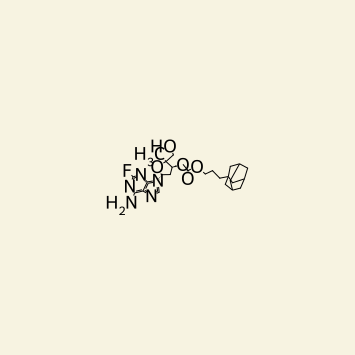 C[C@]1(CO)O[C@@H](n2cnc3c(N)nc(F)nc32)C[C@@H]1OC(=O)OCCCC12CC3CC(CC(C3)C1)C2